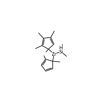 CC1=C[C](C)([Zr]([SiH](C)C)[C]2(C)C=CC=C2C)C(C)=C1C